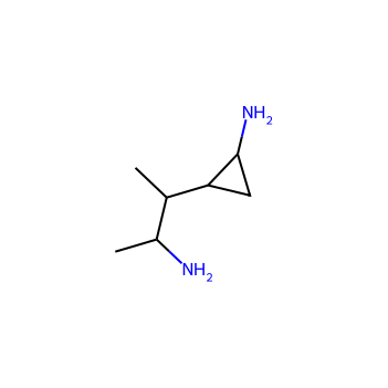 CC(N)C(C)C1CC1N